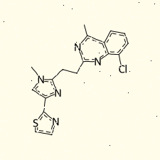 Cc1nc(CCc2nc(-c3nccs3)cn2C)nc2c(Cl)cccc12